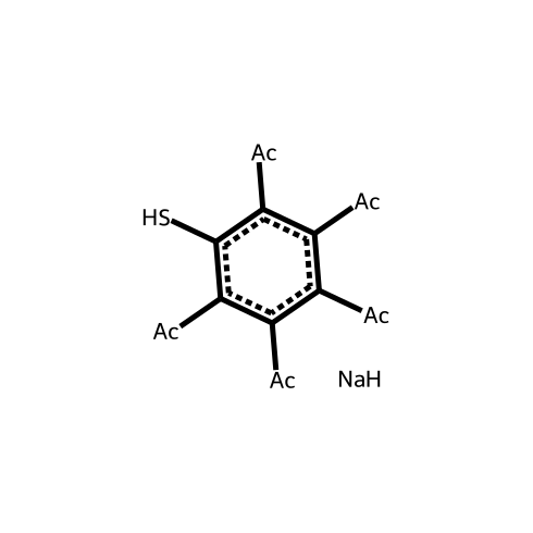 CC(=O)c1c(S)c(C(C)=O)c(C(C)=O)c(C(C)=O)c1C(C)=O.[NaH]